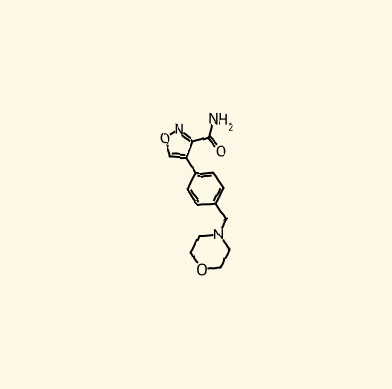 NC(=O)c1nocc1-c1ccc(CN2CCOCC2)cc1